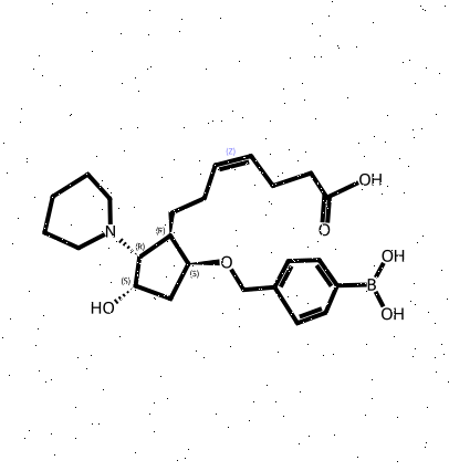 O=C(O)CC/C=C\CC[C@@H]1[C@@H](N2CCCCC2)[C@@H](O)C[C@@H]1OCc1ccc(B(O)O)cc1